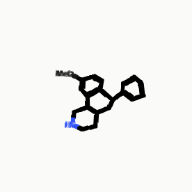 COc1ccc2c(c1)C1CNCCC1CC2c1ccccc1